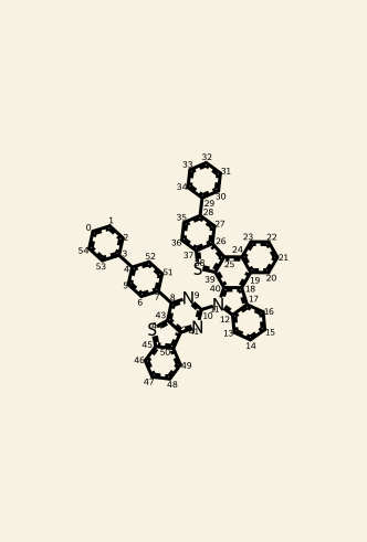 c1ccc(-c2ccc(-c3nc(-n4c5ccccc5c5c6ccccc6c6c7cc(-c8ccccc8)ccc7sc6c54)nc4c3sc3ccccc34)cc2)cc1